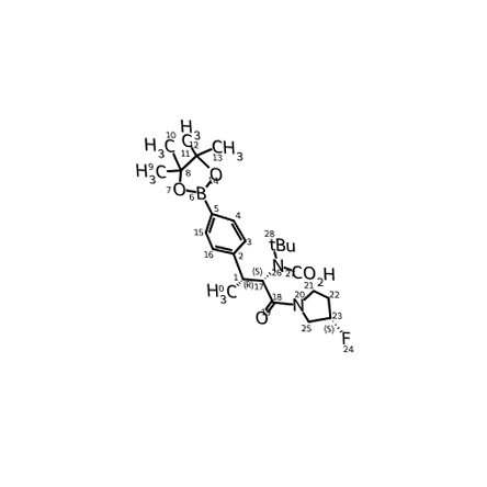 C[C@H](c1ccc(B2OC(C)(C)C(C)(C)O2)cc1)[C@@H](C(=O)N1CC[C@H](F)C1)N(C(=O)O)C(C)(C)C